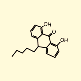 CCCCCC1c2cccc(O)c2C(=O)c2c(O)cccc21